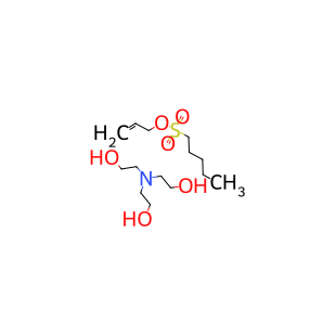 C=CCOS(=O)(=O)CCCCC.OCCN(CCO)CCO